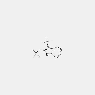 CC(C)(C)Cc1sc2ccccc2c1C(C)(C)C